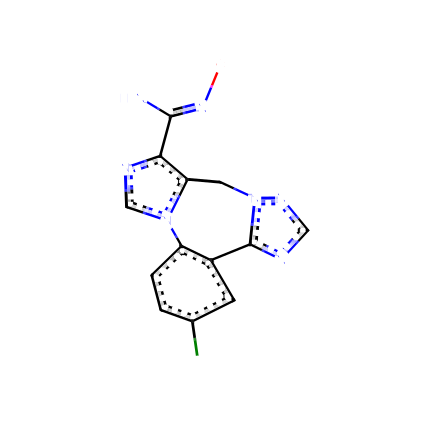 NC(=NO)c1ncn2c1Cn1ncnc1-c1cc(F)ccc1-2